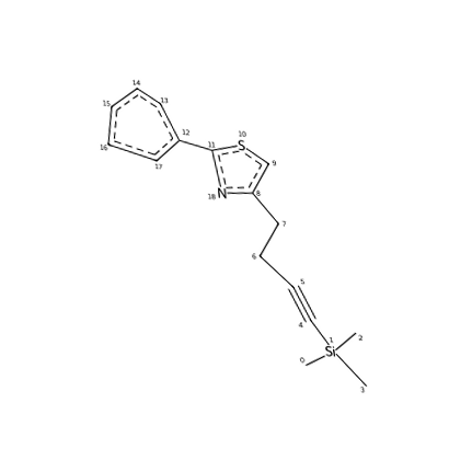 C[Si](C)(C)C#CCCc1csc(-c2ccccc2)n1